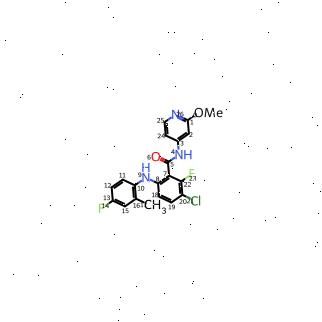 COc1cc(NC(=O)c2c(Nc3ccc(F)cc3C)ccc(Cl)c2F)ccn1